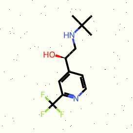 CC(C)(C)NC[C@H](O)c1ccnc(C(F)(F)F)c1